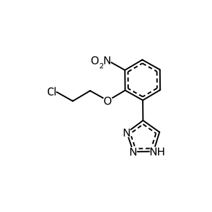 O=[N+]([O-])c1cccc(-c2c[nH]nn2)c1OCCCl